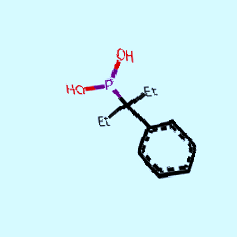 CCC(CC)(c1ccccc1)P(O)O